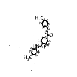 Cc1ccc(COC(=O)N2CCC(CNc3cnc(C)cn3)C(F)(F)C2)cc1